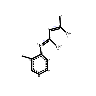 CCCC(/C=C(/C)O)=N\c1ccccc1C